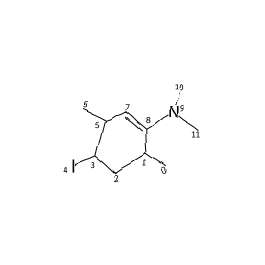 CC1CC(I)C(C)C=C1N(C)C